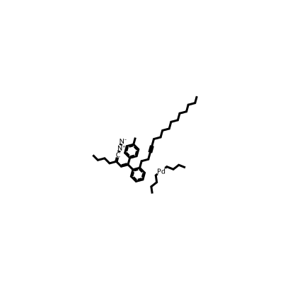 CCCCCCCCCCCC#CCCc1ccccc1C(=CC(=C=[N+]=[N-])CCCC)c1ccc(C)cc1.CCC[CH2][Pd][CH2]CCC